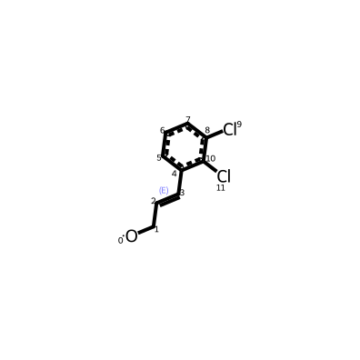 [O]C/C=C/c1cccc(Cl)c1Cl